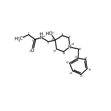 CCC(=O)NCC1(O)CCN(Cc2ccccc2)CC1